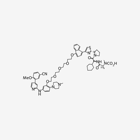 COc1ccc(C#N)cc1-c1ccnc(Nc2ccc(N3CCN(C)CC3)c(OCCOCCOCCOCCOc3ccc(-c4csc([C@@H]5CCCN5C(=O)[C@@H](NC(=O)[C@H](C)N(C)C(=O)O)C5CCCCC5)n4)c4ccccc34)c2)c1